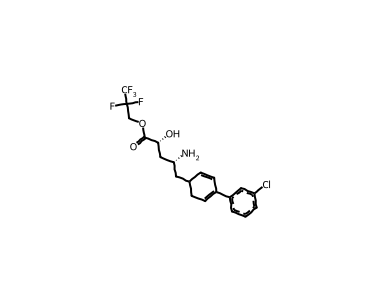 N[C@H](CC1C=CC(c2cccc(Cl)c2)=CC1)C[C@@H](O)C(=O)OCC(F)(F)C(F)(F)F